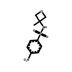 CC1(NS(=O)(=O)c2ccc([N+](=O)[O-])cc2)COC1